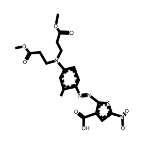 COC(=O)CCN(CCC(=O)OC)c1ccc(N=Nc2sc([N+](=O)[O-])cc2C(=O)O)c(C)c1